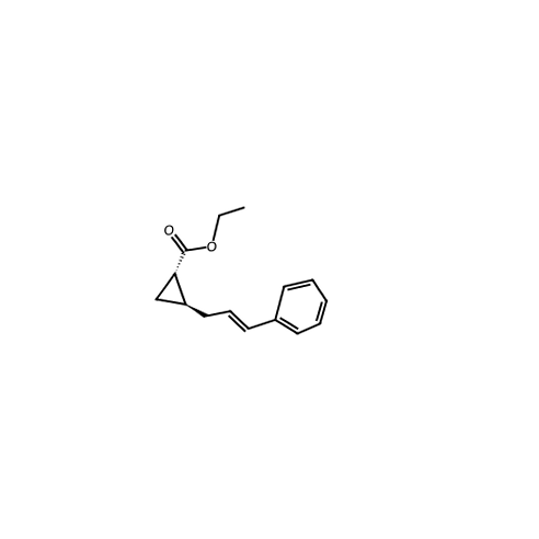 CCOC(=O)[C@H]1C[C@@H]1C/C=C/c1ccccc1